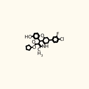 CC1=C(C(=O)OC2CCCC2)C(c2cccc(O)c2)C2=C(CC(c3ccc(Cl)c(F)c3)CC2=O)N1